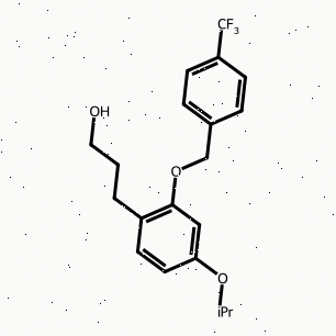 CC(C)Oc1ccc(CCCO)c(OCc2ccc(C(F)(F)F)cc2)c1